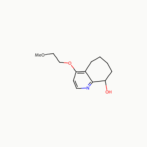 COCCOc1ccnc2c1CCCCC2O